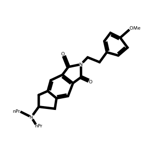 CCCN(CCC)C1Cc2cc3c(cc2C1)C(=O)N(CCc1ccc(OC)cc1)C3=O